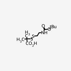 CC(C)(C)OC(=O)NCCSSC(C)(C)C(=O)O